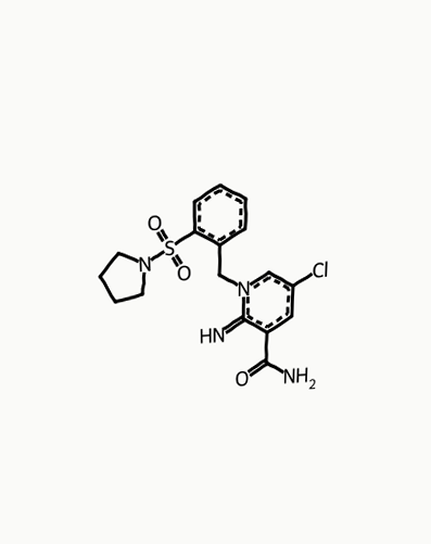 N=c1c(C(N)=O)cc(Cl)cn1Cc1ccccc1S(=O)(=O)N1CCCC1